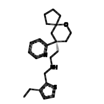 CCc1ccsc1CNCC[C@@]1(c2ccccn2)CCOC2(CCCC2)C1